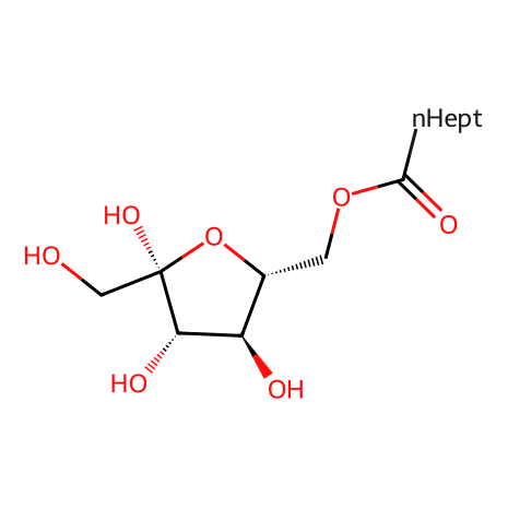 CCCCCCCC(=O)OC[C@H]1O[C@](O)(CO)[C@@H](O)[C@@H]1O